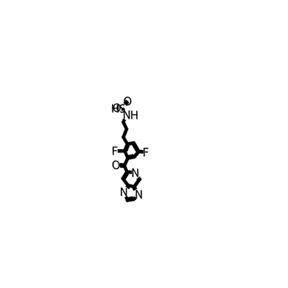 O=C(c1cc2nccnc2cn1)c1cc(F)cc(CCCN[SH](=O)=O)c1F